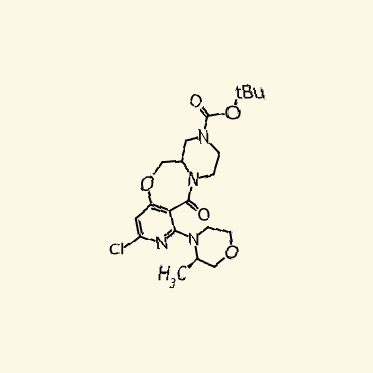 C[C@@H]1COCCN1c1nc(Cl)cc2c1C(=O)N1CCN(C(=O)OC(C)(C)C)CC1CO2